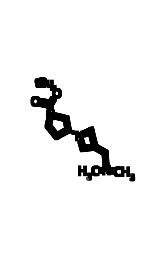 CN(C)CC1CN([C@@H]2CCN(C(=O)OC(C)(C)C)C2)C1